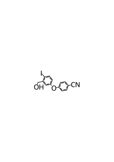 N#Cc1ccc(Oc2ccc(I)c(CO)c2)cc1